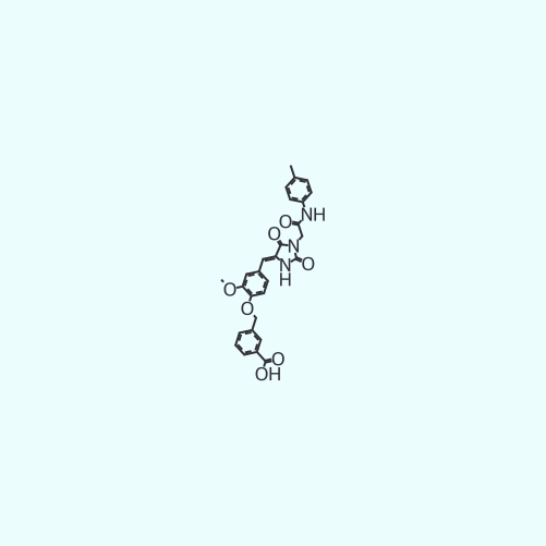 COc1cc(/C=C2\NC(=O)N(CC(=O)Nc3ccc(C)cc3)C2=O)ccc1OCc1cccc(C(=O)O)c1